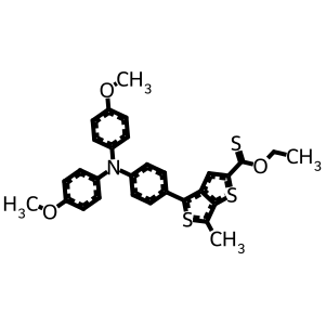 CCOC(=S)c1cc2c(-c3ccc(N(c4ccc(OC)cc4)c4ccc(OC)cc4)cc3)sc(C)c2s1